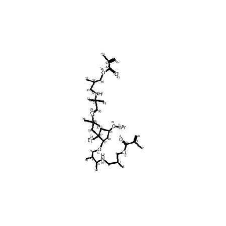 C=C(C)C(=O)OCC(C)CNC(C)C(C)COC1CC(OCCC)CC1(CC)CC(C)(C)OCC(C)(C)NCC(C)COC(=O)C(=C)C